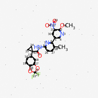 COc1ncc(-c2nc(NC(=O)C3(c4ccc5c(c4)OC(F)(F)O5)CC3)ccc2C)cc1[N+](=O)[O-]